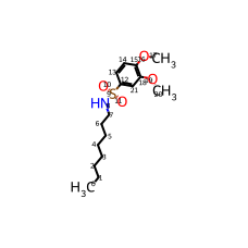 CCCCCCCCNS(=O)(=O)c1ccc(OC)c(OC)c1